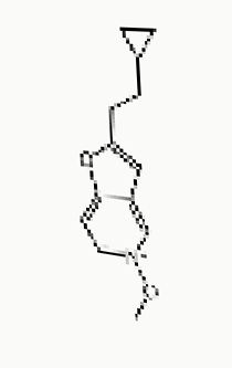 CO[n+]1ccc2oc(CCC3CC3)cc2c1